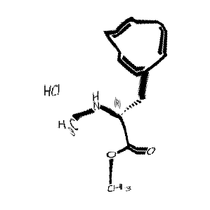 CN[C@H](Cc1ccccc1)C(=O)OC.Cl